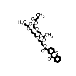 C=CC(=O)OCCCCOCC(COC(=O)C1=CC2C(=O)c3ccccc3SC2C=C1)OC(C)OCCOCCOC(=O)C=C